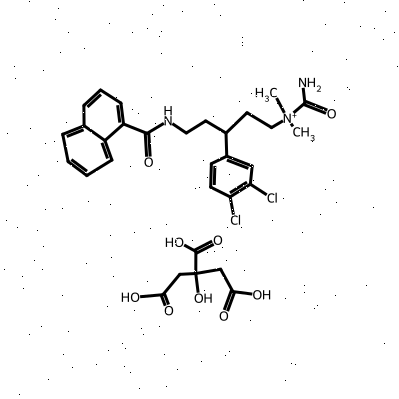 C[N+](C)(CCC(CCNC(=O)c1cccc2ccccc12)c1ccc(Cl)c(Cl)c1)C(N)=O.O=C(O)CC(O)(CC(=O)O)C(=O)O